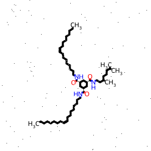 CCCCCCCC/C=C\CCCCCCCCNC(=O)[C@@H]1C[C@H](C(=O)NCCCCCCCC/C=C\CCCCCCCC)C[C@H](C(=O)NCCC(C)CCCC(C)C)C1